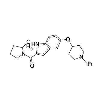 CC(C)N1CCC(Oc2ccc3[nH]c(C(=O)N4CCCC4C)cc3c2)CC1